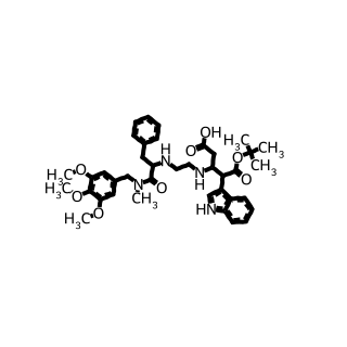 COc1cc(CN(C)C(=O)C(Cc2ccccc2)NCCNC(CC(=O)O)C(C(=O)OC(C)(C)C)c2c[nH]c3ccccc23)cc(OC)c1OC